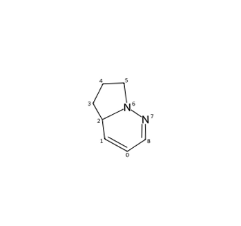 C1=CC2CCCN2N=C1